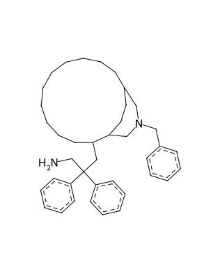 NCC(CC1CCCCCCCCCCC2CCC1CN(Cc1ccccc1)C2)(c1ccccc1)c1ccccc1